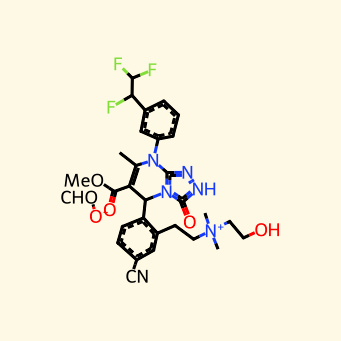 COC(=O)C1=C(C)N(c2cccc(C(F)C(F)F)c2)c2n[nH]c(=O)n2C1c1ccc(C#N)cc1CC[N+](C)(C)CCO.O=C[O-]